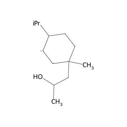 CC(O)CC1(C)C[CH]C(C(C)C)CC1